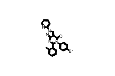 Cc1ccccc1-c1nc2nn(-c3ccccn3)cc2c(=O)n1-c1ccc(Br)cc1